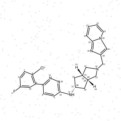 Fc1ccc(Cl)c(-c2ccc(N[C@@H]3C[C@@H]4CN(Cc5cn6ccccc6n5)C[C@@H]4C3)nn2)c1